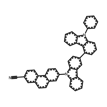 N#Cc1ccc2c(ccc3cc(-n4c5ccccc5c5cc(-c6cccc7c6c6ccccc6n7-c6ccccc6)ccc54)ccc32)c1